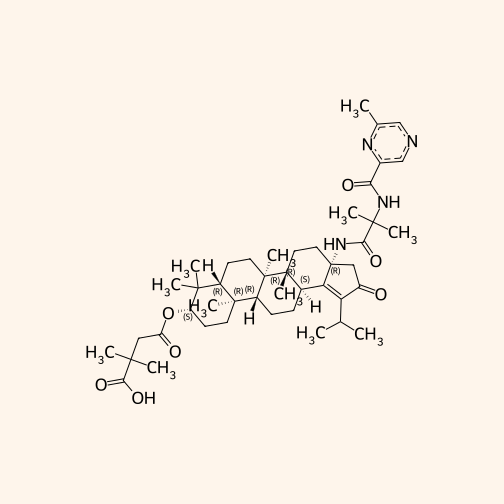 Cc1cncc(C(=O)NC(C)(C)C(=O)N[C@@]23CC[C@]4(C)[C@H](CC[C@@H]5[C@@]6(C)CC[C@H](OC(=O)CC(C)(C)C(=O)O)C(C)(C)[C@@H]6CC[C@]54C)C2=C(C(C)C)C(=O)C3)n1